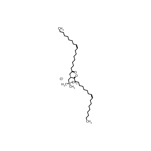 CCCCCCCC/C=C\CCCCCCCC(=O)C[C@H](C[N+](C)(C)C)C(=O)CCCCCCC/C=C\CCCCCCCC.[Cl-]